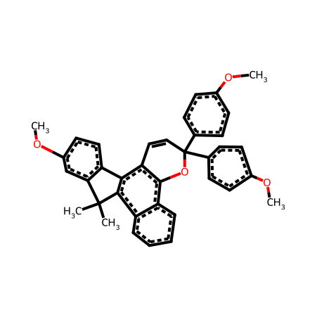 COc1ccc(C2(c3ccc(OC)cc3)C=Cc3c4c(c5ccccc5c3O2)C(C)(C)c2cc(OC)ccc2-4)cc1